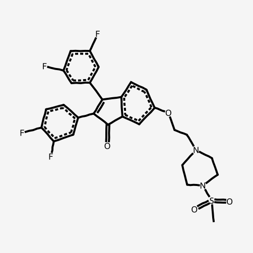 CS(=O)(=O)N1CCN(CCOc2ccc3c(c2)C(=O)C(c2ccc(F)c(F)c2)=C3c2cc(F)cc(F)c2)CC1